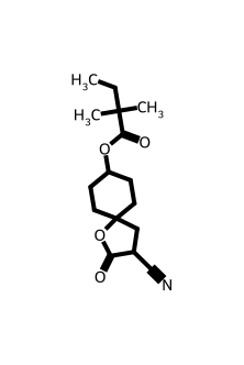 CCC(C)(C)C(=O)OC1CCC2(CC1)CC(C#N)C(=O)O2